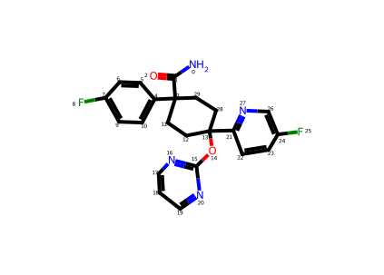 NC(=O)C1(c2ccc(F)cc2)CCC(Oc2ncccn2)(c2ccc(F)cn2)CC1